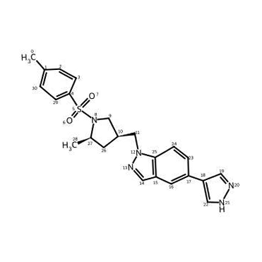 Cc1ccc(S(=O)(=O)N2C[C@@H](Cn3ncc4cc(-c5cn[nH]c5)ccc43)C[C@H]2C)cc1